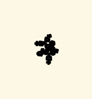 CC(C)(C)c1ccc(N(C2=CC3(C4=Cc5c(N(c6ccc(C(C)(C)C)cc6)c6ccc(C(C)(C)C)cc6)cc6c(oc7ccccc76)c5C4=C2)c2ccccc2-c2ccccc23)c2ccc(C(C)(C)C)cc2)cc1